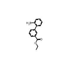 Bc1ccccc1-c1cccc(C(=O)OCC)c1